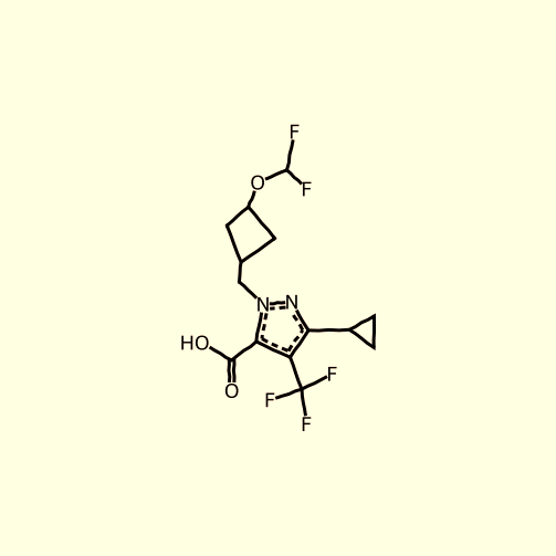 O=C(O)c1c(C(F)(F)F)c(C2CC2)nn1CC1CC(OC(F)F)C1